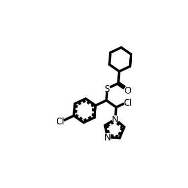 O=C(SC(c1ccc(Cl)cc1)C(Cl)n1ccnc1)C1CCCCC1